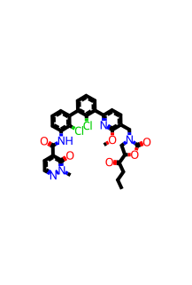 CCCC(=O)C1CN(Cc2ccc(-c3cccc(-c4cccc(NC(=O)c5ccnn(C)c5=O)c4Cl)c3Cl)nc2OC)C(=O)O1